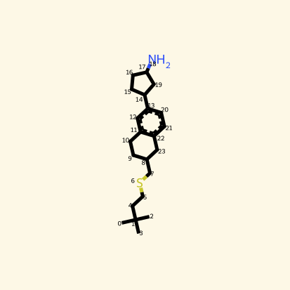 CC(C)(C)CCSCC1CCc2cc(C3CCC(N)C3)ccc2C1